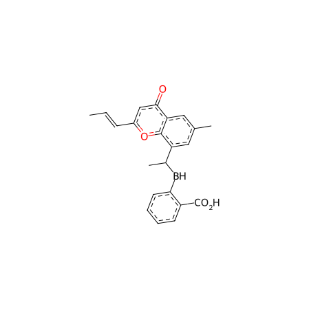 C/C=C/c1cc(=O)c2cc(C)cc(C(C)Bc3ccccc3C(=O)O)c2o1